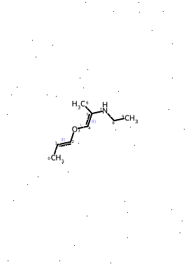 C/C=C/O/C=C(\C)NCC